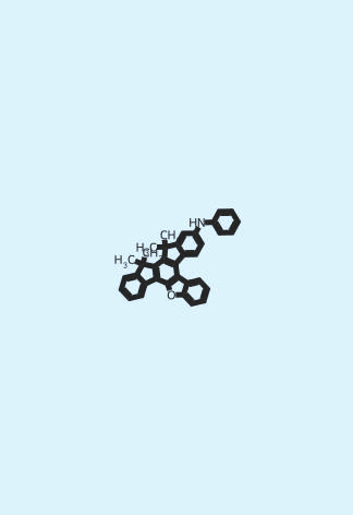 CC1(C)c2ccccc2-c2c1c1c(c3c2oc2ccccc23)-c2ccc(Nc3ccccc3)cc2C1(C)C